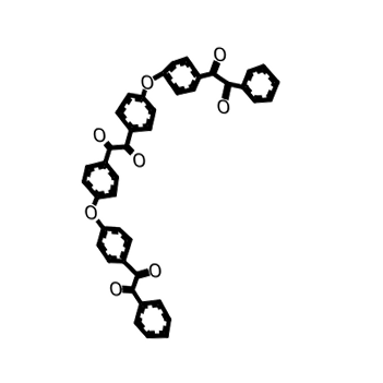 O=C(C(=O)c1ccc(Oc2ccc(C(=O)C(=O)c3ccc(Oc4ccc(C(=O)C(=O)c5ccccc5)cc4)cc3)cc2)cc1)c1ccccc1